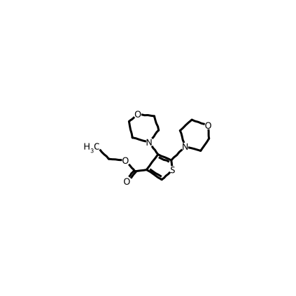 CCOC(=O)c1csc(N2CCOCC2)c1N1CCOCC1